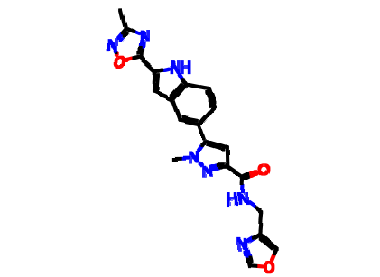 Cc1noc(-c2cc3cc(-c4cc(C(=O)NCc5cocn5)nn4C)ccc3[nH]2)n1